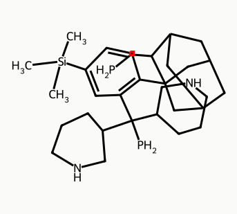 C[Si](C)(C)c1ccc(C23CC4CC(CC(C4)C2CP)C3)c(C(P)(C2CCCNC2)C2CCCNC2)c1